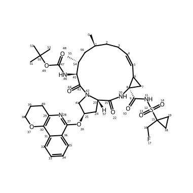 C[C@H]1CC/C=C\C2C[C@@]2(C(=O)NS(=O)(=O)C2(CF)CC2)NC(=O)[C@@H]2C[C@@H](Oc3nc4c(c5ccccc35)OCCC4)CN2C(=O)[C@@H](NC(=O)OC(C)(C)C)[C@H](C)C1